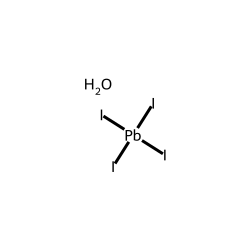 O.[I][Pb]([I])([I])[I]